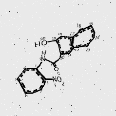 O=C(Nc1ccccc1[N+](=O)[O-])c1cc2ccccc2cc1O